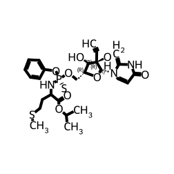 C#C[C@@]1(O)[C@H](O)[C@@H](COP(=S)(NC(CCSC)C(=O)OC(C)C)Oc2ccccc2)O[C@H]1N1C=CC(=O)NC1=C